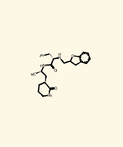 CC(C)C[C@H](NCC1Cc2ccccc2O1)C(=O)N[C@H](C#N)C[C@@H]1CCCNC1=O